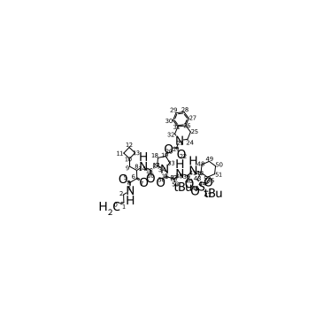 C=CCNC(=O)C(=O)C(CC1CCC1)NC(=O)[C@@H]1CC(OC(=O)N2CCc3ccccc3C2)CN1C(=O)[C@@H](NC(=O)NC1(CS(=O)(=O)C(C)(C)C)CCCCC1)C(C)(C)C